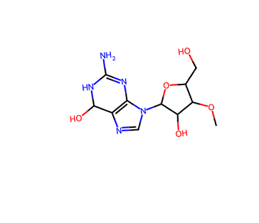 COC1C(CO)OC(n2cnc3c2N=C(N)NC3O)C1O